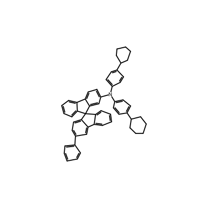 c1ccc(-c2ccc3c(c2)-c2ccccc2C32c3ccccc3-c3ccc(N(c4ccc(C5CCCCC5)cc4)c4ccc(C5CCCCC5)cc4)cc32)cc1